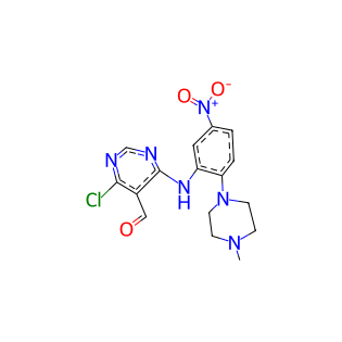 CN1CCN(c2ccc([N+](=O)[O-])cc2Nc2ncnc(Cl)c2C=O)CC1